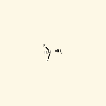 [AlH3].[F][AlH][F]